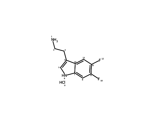 Cl.NCCc1c[nH]c2cc(F)c(F)cc12